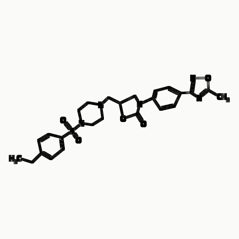 CCc1ccc(S(=O)(=O)N2CCN(CC3CN(c4ccc(-c5noc(C)n5)cc4)C(=O)O3)CC2)cc1